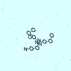 N#Cc1ccc(-c2cccc(-c3nc(-c4ccc(-c5cccc(-c6ccccc6)c5)cc4)nc(-c4ccc5c(c4)oc4cccc(-c6ccccc6)c45)n3)c2)cc1